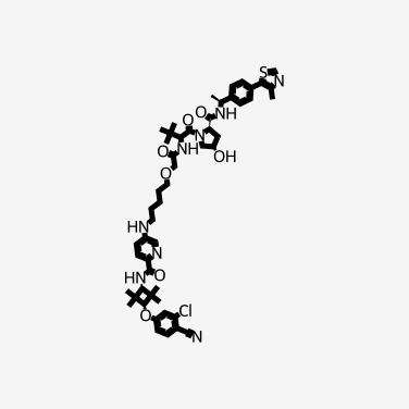 Cc1ncsc1-c1ccc([C@H](C)NC(=O)[C@@H]2C[C@@H](O)CN2C(=O)C(NC(=O)COCCCCCNc2ccc(C(=O)N[C@H]3C(C)(C)[C@H](Oc4ccc(C#N)c(Cl)c4)C3(C)C)nc2)C(C)(C)C)cc1